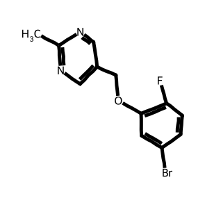 Cc1ncc(COc2cc(Br)ccc2F)cn1